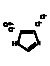 [Cl-].[Cl-].[Cl-].[Cr+3].c1c[nH]cn1